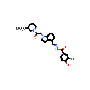 CCOC(=O)C1CCCN(C(=O)Cn2ccc3c(/C=N/NC(=O)c4ccc(O)c(Cl)c4)cccc32)C1